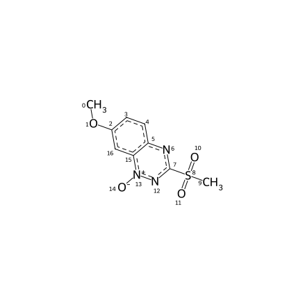 COc1ccc2nc(S(C)(=O)=O)n[n+]([O-])c2c1